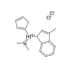 CC1=C[CH]([Hf+2]([C]2=CC=CC2)=[Si](C)C)c2ccccc21.[Cl-].[Cl-]